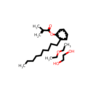 C=C(C)C(=O)Oc1ccccc1CCCCCCCCC.CCOCC.OCCO